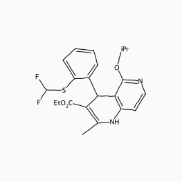 CCOC(=O)C1=C(C)Nc2ccnc(OC(C)C)c2C1c1ccccc1SC(F)F